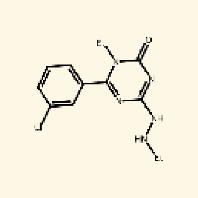 CCNNc1nc(-c2cccc(Cl)c2)n(CC)c(=O)n1